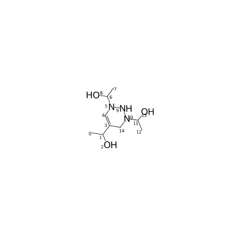 CC(O)C1=CN(C(C)O)NN(C(C)O)C1